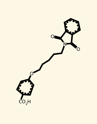 O=C(O)c1ccc(OCCCCCN2C(=O)c3ccccc3C2=O)cc1